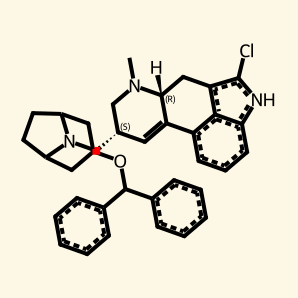 CN1C[C@@H](CN2C3CCC2CC(OC(c2ccccc2)c2ccccc2)C3)C=C2c3cccc4[nH]c(Cl)c(c34)C[C@H]21